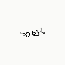 FCOc1ccc(-c2cn3ccc(NC4CC4)nc3n2)cc1